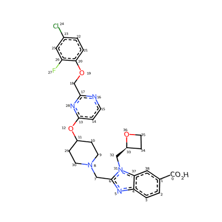 O=C(O)c1ccc2nc(CN3CCC(Oc4ccnc(COc5ccc(Cl)cc5F)n4)CC3)n(C[C@@H]3CCO3)c2c1